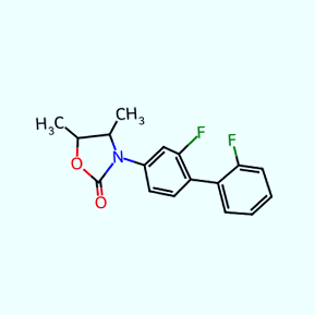 CC1OC(=O)N(c2ccc(-c3ccccc3F)c(F)c2)C1C